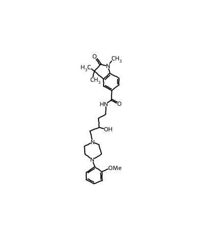 COc1ccccc1N1CCN(CC(O)CCNC(=O)c2ccc3c(c2)C(C)(C)C(=O)N3C)CC1